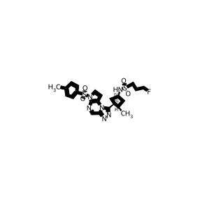 Cc1ccc(S(=O)(=O)n2ccc3c2ncc2nnc([C@H]4C[C@@H](NS(=O)(=O)CCCF)C[C@H]4C)n23)cc1